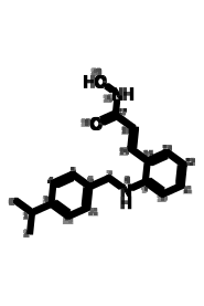 CC(C)c1ccc(CNc2ccccc2/C=C/C(=O)NO)cc1